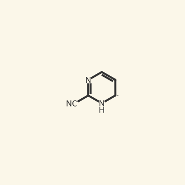 N#CC1=NC=C[CH]N1